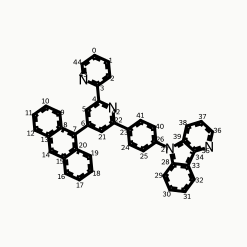 c1ccc(-c2cc(-c3c4ccccc4cc4ccccc34)cc(-c3ccc(-n4c5ccccc5c5ncccc54)cc3)n2)nc1